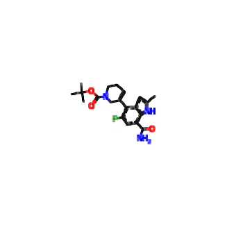 Cc1cc2c(C3=CCCN(C(=O)OC(C)(C)C)C3)c(F)cc(C(N)=O)c2[nH]1